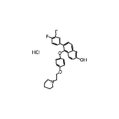 Cl.Oc1ccc2c(Oc3ccc(OCCN4CCCCC4)cc3)c(-c3ccc(F)c(F)c3)ccc2c1